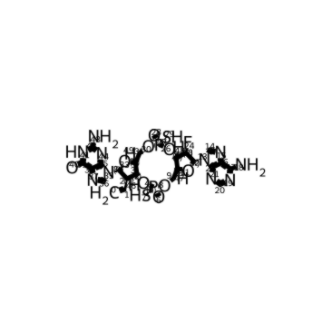 C=C[C@@H]1[C@@H]2O[P@](=O)(S)OC[C@H]3O[C@@H](n4cnc5c(N)ncnc54)[C@H](F)[C@@H]3O[P@@](=O)(S)OC[C@H]2O[C@H]1n1cnc2c(=O)[nH]c(N)nc21